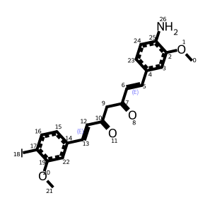 COc1cc(/C=C/C(=O)CC(=O)/C=C/c2ccc(I)c(OC)c2)ccc1N